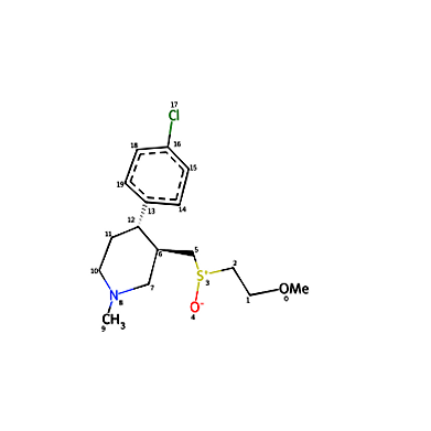 COCC[S+]([O-])C[C@H]1CN(C)CC[C@@H]1c1ccc(Cl)cc1